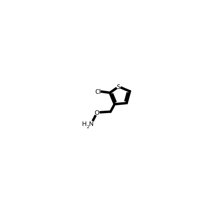 NOCc1ccsc1Cl